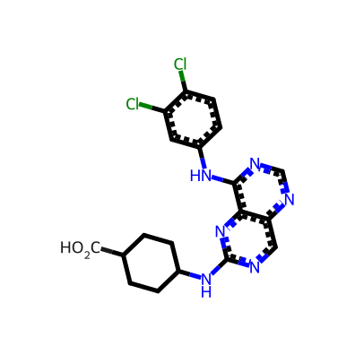 O=C(O)C1CCC(Nc2ncc3ncnc(Nc4ccc(Cl)c(Cl)c4)c3n2)CC1